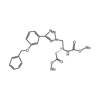 CC(C)(C)OC(=O)C[C@H](Cn1nnc(-c2cccc(OCc3ccccc3)c2)n1)NC(=O)OC(C)(C)C